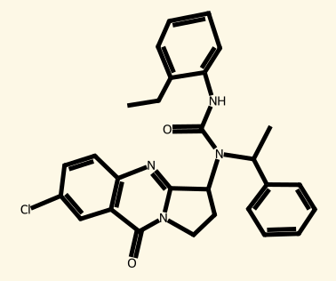 CCc1ccccc1NC(=O)N(C(C)c1ccccc1)C1CCn2c1nc1ccc(Cl)cc1c2=O